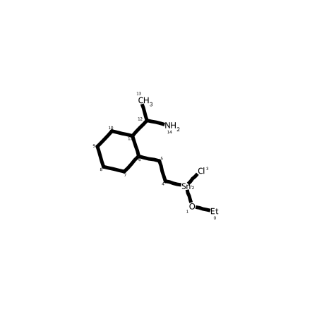 CC[O][Sn]([Cl])[CH2]CC1CCCCC1C(C)N